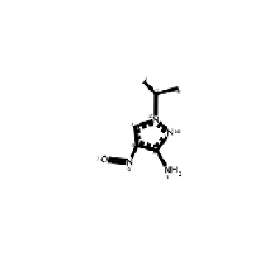 CC(C)n1cc(N=O)c(N)n1